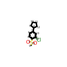 CS(=O)(=O)c1ccc(C2[CH]CCC2)cc1Cl